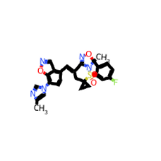 Cc1cn(-c2ccc(/C=C3\CC4(CC4)S(=O)(=O)N4C3=NOC4(C)c3ccc(F)cc3)c3cnoc23)cn1